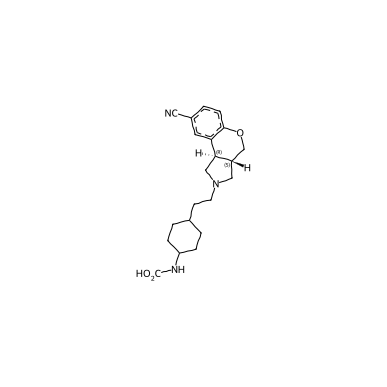 N#Cc1ccc2c(c1)[C@@H]1CN(CCC3CCC(NC(=O)O)CC3)C[C@H]1CO2